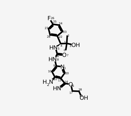 CC(C)(O)[C@@H](NC(=O)Nc1cc(N)c(C(=N)OCCO)cn1)c1ccc(F)cc1